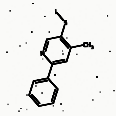 Cc1cc(-c2ccccc2)ncc1SI